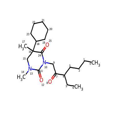 CCCCC(CC)C(=O)CN1C(=O)N(C)CC(C)(C2CCCCC2)C1=O